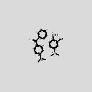 CCc1cc(N(C)C)ccc1C(=O)O.CN(C)c1ccc(C(=O)c2ccccc2)cc1